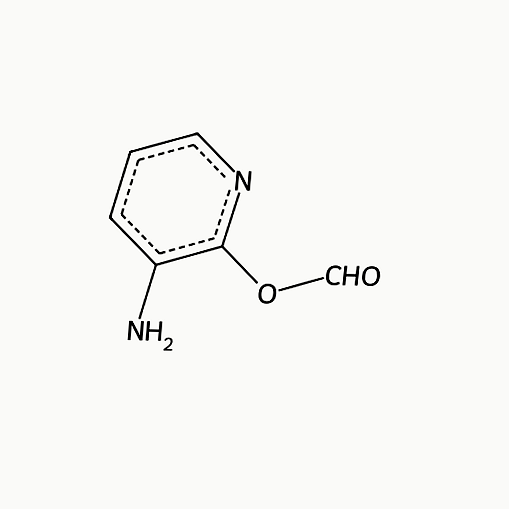 Nc1cccnc1OC=O